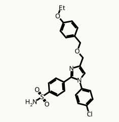 CCOc1ccc(COCc2cn(-c3ccc(Cl)cc3)c(-c3ccc(S(N)(=O)=O)cc3)n2)cc1